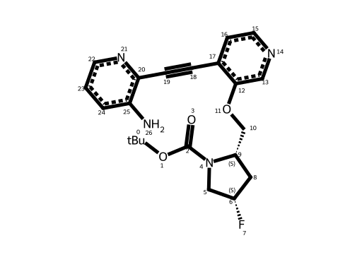 CC(C)(C)OC(=O)N1C[C@@H](F)C[C@H]1COc1cnccc1C#Cc1ncccc1N